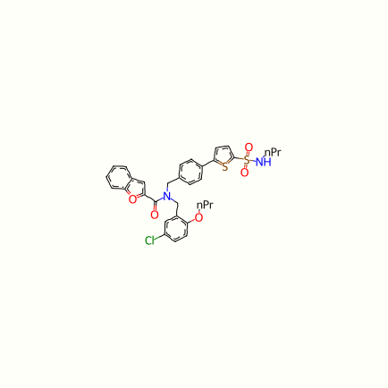 CCCNS(=O)(=O)c1ccc(-c2ccc(CN(Cc3cc(Cl)ccc3OCCC)C(=O)c3cc4ccccc4o3)cc2)s1